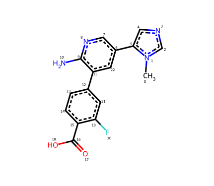 Cn1cncc1-c1cnc(N)c(-c2ccc(C(=O)O)c(F)c2)c1